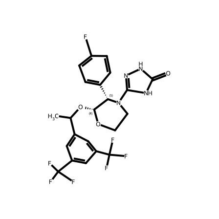 CC(O[C@H]1OCCN(c2n[nH]c(=O)[nH]2)[C@H]1c1ccc(F)cc1)c1cc(C(F)(F)F)cc(C(F)(F)F)c1